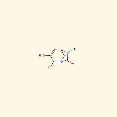 CCC1C(C)=CC2CN1C(=O)N2C